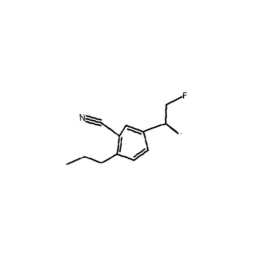 [CH2]C(CF)c1ccc(CCC)c(C#N)c1